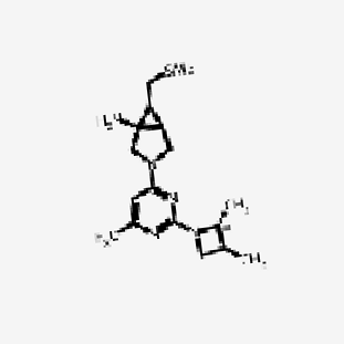 CSCC1C2CN(c3cc(C(F)(F)F)nc(N4CC(C)[C@@H]4C)n3)CC12N